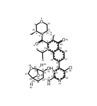 Cc1c(C(=O)N2[C@@H](C)COC[C@@H]2C)n(C(C)C)c2cc(-c3nc(N[C@@H]4C[C@H]5CO[C@H](O5)[C@H]4O)ncc3Cl)ccc2c1=O